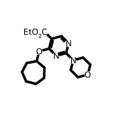 CCOC(=O)c1cnc(N2CCOCC2)nc1OC1CCCCCC1